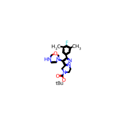 Cc1cc(-c2nn3c(c2N2C=CNCOC2)CN(C(=O)OC(C)(C)C)CC3)cc(C)c1F